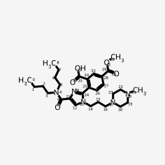 CCCCN(CCCC)C(=O)c1cn(CCCN2CCN(C)CC2)c(-c2ccc(C(=O)OC)cc2C(=O)O)n1